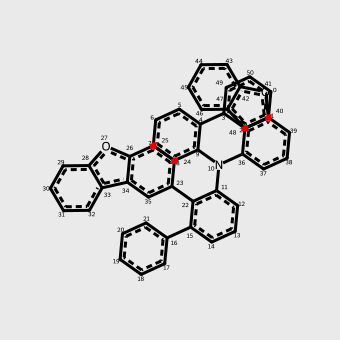 c1ccc(-c2ccccc2N(c2cccc(-c3ccccc3)c2-c2ccc3oc4ccccc4c3c2)c2cccc3oc4ccccc4c23)cc1